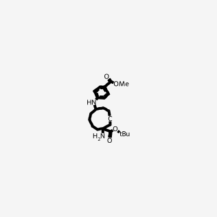 COC(=O)c1ccc(NC2CCCCC(N)(C(=O)OC(C)(C)C)CCCC2)cc1